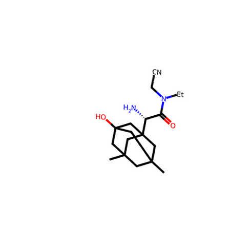 CCN(CC#N)C(=O)[C@@H](N)C12CC3(C)CC(C)(CC(O)(C3)C1)C2